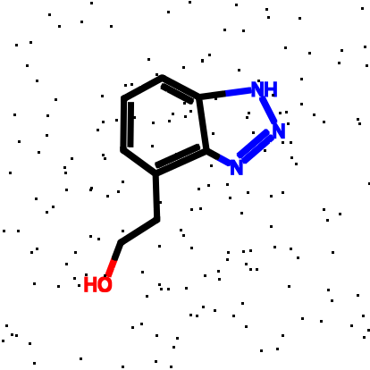 OCCc1cccc2[nH]nnc12